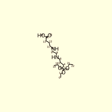 CCO[Si](CCCNCCNCCCC(=O)O)(OCC)OCC